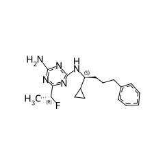 C[C@@H](F)c1nc(N)nc(N[C@@H](CCCc2ccccc2)C2CC2)n1